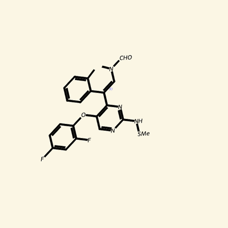 CSNc1ncc(Oc2ccc(F)cc2F)c(/C(=C/N(C)C=O)c2ccccc2C)n1